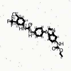 CCOC(=O)Nc1ccc2c(c1)ncn2-c1ccc(NC(=O)Nc2ccc(Cl)c(C(F)(F)F)c2)cc1